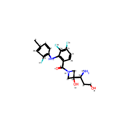 Cc1ccc(Nc2c(C(=O)N3CC(O)(C(N)CCO)C3)ccc(F)c2F)c(F)c1